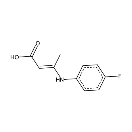 C/C(=C\C(=O)O)Nc1ccc(F)cc1